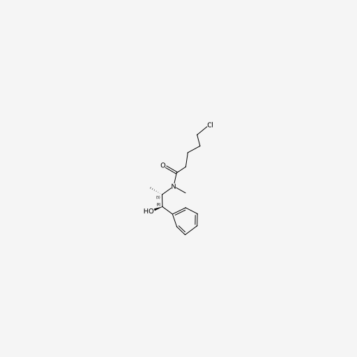 C[C@@H]([C@H](O)c1ccccc1)N(C)C(=O)CCCCCl